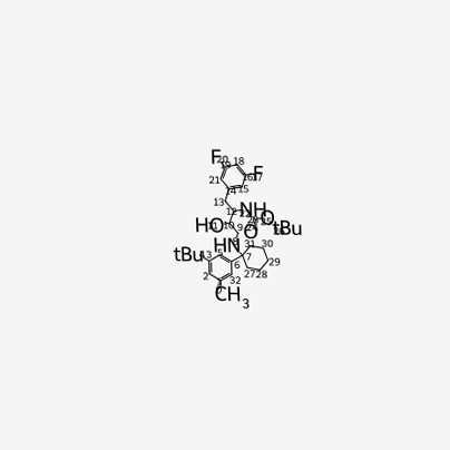 Cc1cc(C(C)(C)C)cc(C2(NCC(O)C(Cc3cc(F)cc(F)c3)NC(=O)OC(C)(C)C)CCCCC2)c1